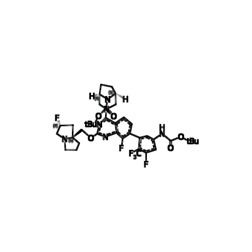 CC(C)(C)OC(=O)Nc1cc(F)c(C(F)(F)F)c(-c2ccc3c(N4C[C@H]5CC[C@@H](C4)N5C(=O)OC(C)(C)C)nc(OC[C@@]45CCCN4C[C@H](F)C5)nc3c2F)c1